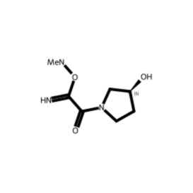 CNOC(=N)C(=O)N1CC[C@H](O)C1